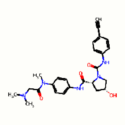 C#Cc1ccc(NC(=O)N2C[C@H](O)C[C@@H]2C(=O)Nc2ccc(N(C)C(=O)CN(C)C)cc2)cc1